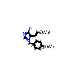 COC=Cc1c(I)ncn1Cc1ccc(OC)cc1